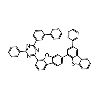 c1ccc(-c2cccc(-c3nc(-c4ccccc4)nc(-c4cccc5c4oc4cc(-c6cc(-c7ccccc7)cc7c6sc6ccccc67)ccc45)n3)c2)cc1